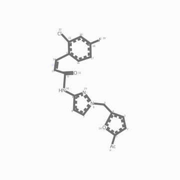 CC(=O)c1ccc(Cn2ccc(NC(=O)/C=C\c3ccc(F)cc3Cl)n2)o1